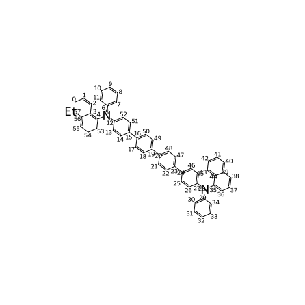 C/C=C\C1=C(N(c2ccccc2)c2ccc(-c3ccc(-c4ccc(-c5ccc(N(c6ccccc6)c6cccc7ccccc67)cc5)cc4)cc3)cc2)CCC=C1CC